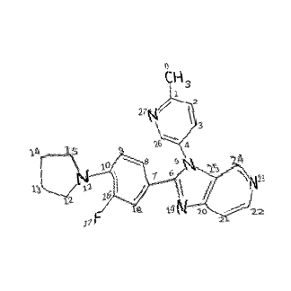 Cc1ccc(-n2c(-c3ccc(N4CCCC4)c(F)c3)nc3ccncc32)cn1